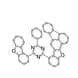 c1ccc(-c2nc(-c3cccc4oc5ccccc5c34)nc(-c3cccc4oc5c6cccc7c6c(cc5c34)-c3ccccc3-7)n2)cc1